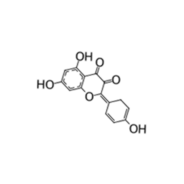 O=C1C(=O)c2c(O)cc(O)cc2OC1=C1C=CC(O)=CC1